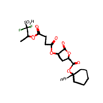 CCCC1(OC(=O)C2CC(OC(=O)CCC(=O)OC(C)C(F)(F)S(=O)(=O)O)C(=O)O2)CCCCC1